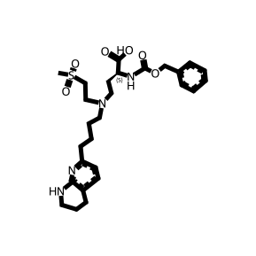 CS(=O)(=O)CCN(CCCCc1ccc2c(n1)NCCC2)CC[C@H](NC(=O)OCc1ccccc1)C(=O)O